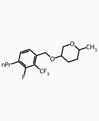 CCCc1ccc(COC2CCC(C)OC2)c(C(F)(F)F)c1F